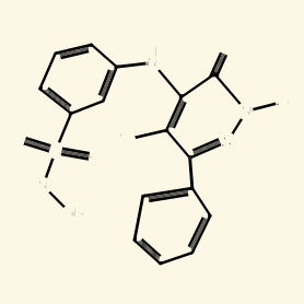 CCCCNS(=O)(=O)c1cccc(Nc2c(C(C)=O)c(-c3ccccc3)nn(CC)c2=O)c1